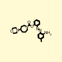 Cc1ccc(/N=N/c2ccccc2OC(=O)N2CCCC(N3CCOCC3)CC2)c(N)c1